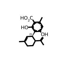 C=C(C)C1CCC(C)=C[C@H]1c1c(O)cc(C)c(C(=O)O)c1O